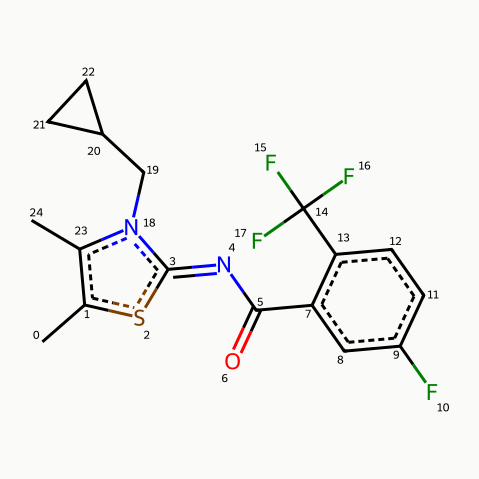 Cc1s/c(=N\C(=O)c2cc(F)ccc2C(F)(F)F)n(CC2CC2)c1C